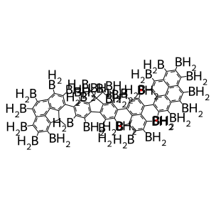 Bc1c(B)c2c(c(B)c1-c1c(B)c(B)c3c(B)c(B)c4c(B)c(B)c(B)c5c4c3c1C5C)C(C(B)(B)B)(C(B)(B)B)c1c(B)c(-c3c(B)c(B)c(-c4c(B)c(B)c5c(B)c(B)c6c(B)c(B)c(B)c7c(B)c(B)c4c5c67)c4c(B)c(B)c(B)c(B)c34)c(B)c(B)c1-2